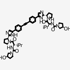 CC(C)[C@H](NC(=O)N1CC[C@@H](O)C1)C(=O)N1CCC[C@H]1c1ncc(-c2ccc(C#Cc3ccc(-c4cnc([C@@H]5CCCN5C(=O)[C@@H](NC(=O)N5CC[C@@H](O)C5)C(C)C)[nH]4)cc3)cc2)[nH]1